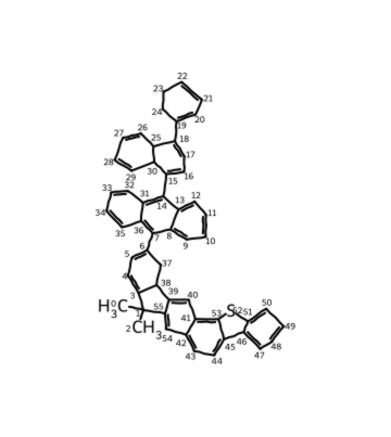 CC1(C)C2=CC=C(c3c4ccccc4c(C4=CC=C(C5=CC=CCC5)C5C=CC=CC45)c4ccccc34)CC2c2cc3c(ccc4c5ccccc5sc34)cc21